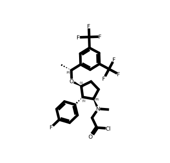 C[C@@H](O[C@H]1CC[C@@H](N(C)CC(=O)Cl)[C@@H]1c1ccc(F)cc1)c1cc(C(F)(F)F)cc(C(F)(F)F)c1